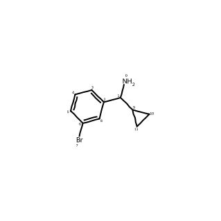 NC(c1cccc(Br)c1)C1CC1